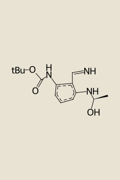 C[C@@H](O)Nc1cccc(NC(=O)OC(C)(C)C)c1C=N